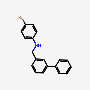 Brc1ccc(NCc2cccc(-c3ccccc3)c2)cc1